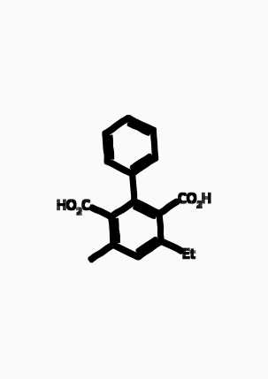 CCc1cc(C)c(C(=O)O)c(-c2ccccc2)c1C(=O)O